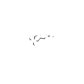 C[CH2][Sn]([CH2]C)([CH2]C)[CH2]CCN=C=O